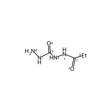 CCC(=O)NNC(=O)NN